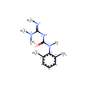 CCN(C(=O)NC(=NC)N(C)C)c1c(C)cccc1C